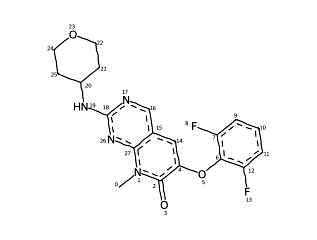 Cn1c(=O)c(Oc2c(F)cccc2F)cc2cnc(NC3CCOCC3)nc21